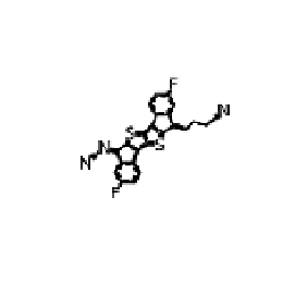 N#CCC/C=C1\c2cc(F)ccc2-c2c1sc1c3c(sc21)/C(=N/C#N)c1cc(F)ccc1-3